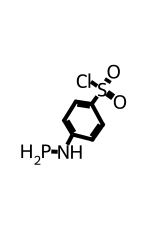 O=S(=O)(Cl)c1ccc(NP)cc1